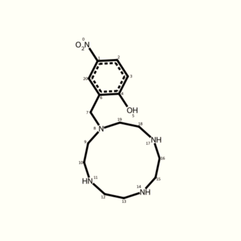 O=[N+]([O-])c1ccc(O)c(CN2CCNCCNCCNCC2)c1